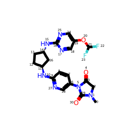 CN1CC(=O)N(c2ccc(N[C@H]3CC[C@H](Nc4ncc(OC(F)F)cn4)C3)nc2)C1=O